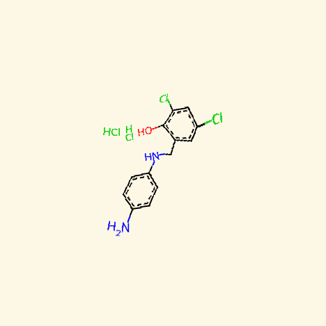 Cl.Cl.Nc1ccc(NCc2cc(Cl)cc(Cl)c2O)cc1